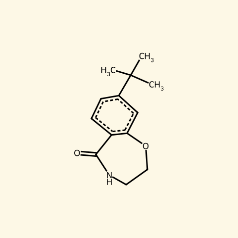 CC(C)(C)c1ccc2c(c1)OCCNC2=O